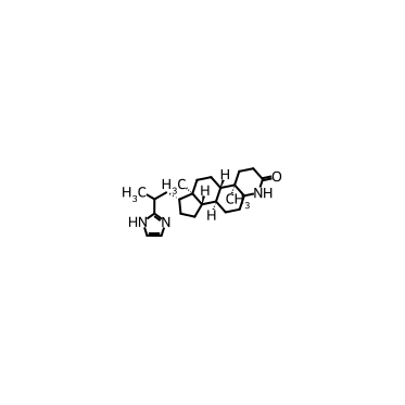 CC(C[C@H]1CC[C@H]2[C@@H]3CCC4NC(=O)CC[C@]4(C)[C@H]3CC[C@]12C)c1ncc[nH]1